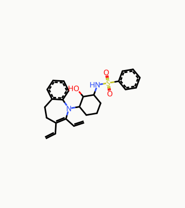 C=CC1=C(C=C)N(C2CCCC(NS(=O)(=O)c3ccccc3)C2O)c2ccccc2CC1